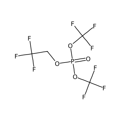 O=P(OCC(F)(F)F)(OC(F)(F)F)OC(F)(F)F